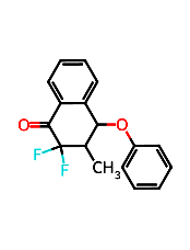 CC1C(Oc2ccccc2)c2ccccc2C(=O)C1(F)F